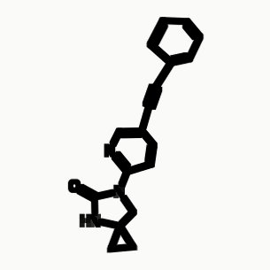 O=C1NC2(CC2)CN1c1ccc(C#Cc2ccccc2)cn1